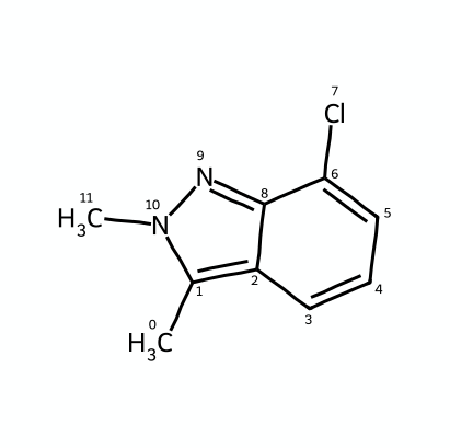 Cc1c2cccc(Cl)c2nn1C